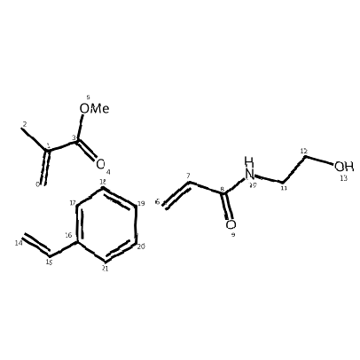 C=C(C)C(=O)OC.C=CC(=O)NCCO.C=Cc1ccccc1